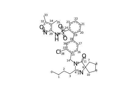 CCCCC1=NC2(CCCC2)C(=O)N1Cc1ccc(-c2ccccc2S(=O)(=O)Nc2noc(C)c2C)cc1Cl